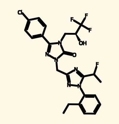 CCc1ccccc1-n1nc(Cn2nc(-c3ccc(Cl)cc3)n(C[C@H](O)C(F)(F)F)c2=O)nc1C(C)F